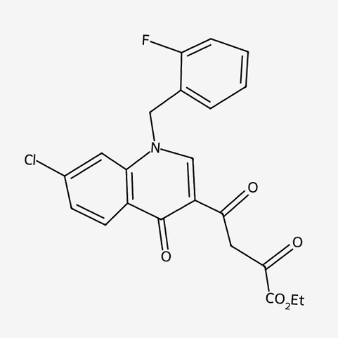 CCOC(=O)C(=O)CC(=O)c1cn(Cc2ccccc2F)c2cc(Cl)ccc2c1=O